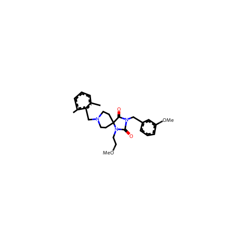 COCCN1C(=O)N(Cc2cccc(OC)c2)C(=O)C12CCN(Cc1c(C)cccc1C)CC2